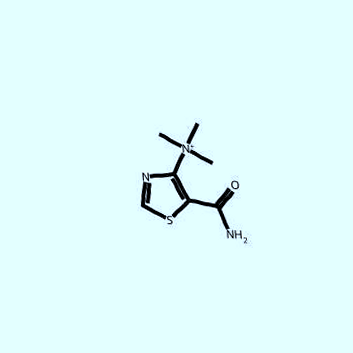 C[N+](C)(C)c1ncsc1C(N)=O